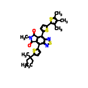 CCC(C)(CC)c1ccc(-c2c3c(c(-c4ccc(-c5sc(C)c(C)c5C)s4)c4nsnc24)C(=O)N(C)C3=O)s1